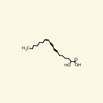 CCCCCC/C=C\C#CC#CCCCCC(O)C(=O)O